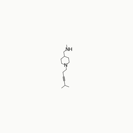 CNCC1CCN(CCC#CC(C)C)CC1